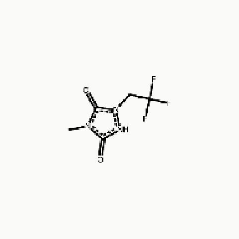 Cn1c(=O)[nH]n(CC(F)(F)F)c1=O